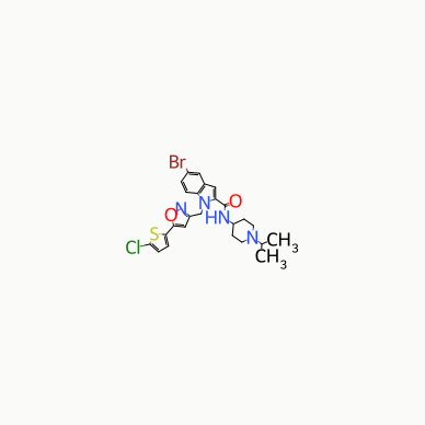 CC(C)N1CCC(NC(=O)c2cc3cc(Br)ccc3n2Cc2cc(-c3ccc(Cl)s3)on2)CC1